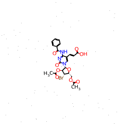 CC(=O)OC[C@H]1O[C@@H](n2cc(C=CC(=O)O)c(NC(=O)c3ccccc3)nc2=O)[C@H](OC(C)=O)[C@H]1Br